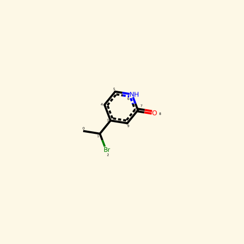 CC(Br)c1cc[nH]c(=O)c1